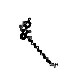 O=C(O)CCOCCOCCOCCOCCNc1cccc2c1C(=O)N(C1CCC(=O)NC1O)C2=O